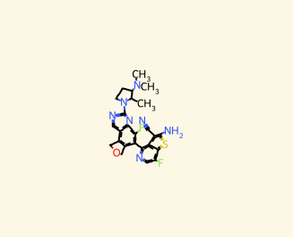 CC1C(N(C)C)CCN1c1ncc2c3c(c(-c4ncc(F)c5sc(N)c(C#N)c45)c(F)c2n1)COC3